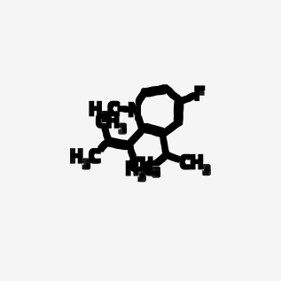 CC(C)=C(C)C1=C(C(C)C)C=C(F)C=CN1C